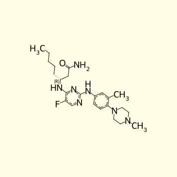 CCCCC[C@H](CC(N)=O)Nc1nc(Nc2ccc(N3CCN(C)CC3)c(C)c2)ncc1F